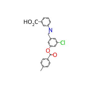 Cc1ccc(C(=O)Oc2cc(Cl)cc(C=Nc3cccc(C(=O)O)c3)c2)cc1